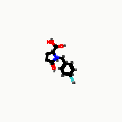 O=C(O)[C@@H]1CCC(=O)N1Cc1ccc(F)cc1